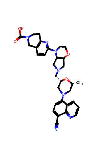 C[C@@H]1CN(c2ccc(C#N)c3ncccc23)C[C@H](CN2CC3OCCN(c4ccc5c(n4)CCN(C(=O)O)C5)C3C2)O1